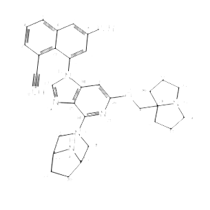 C#Cc1cccc2cc(O)cc(-n3cnc4c(N5CC6CCC(C5)N6)nc(OCC56CCCN5CCC6)cc43)c12